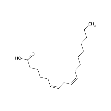 CCCCCCCC/C=C\C/C=C\CCCCC(=O)O